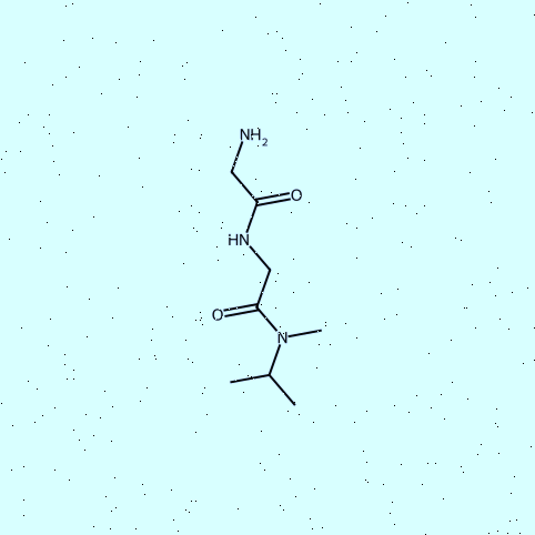 CC(C)N(C)C(=O)CNC(=O)CN